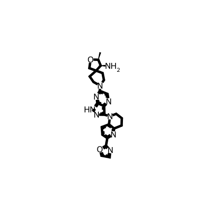 C[C@@H]1OCC2(CCN(c3cnc4c(N5CCCc6nc(-c7ncco7)ccc65)n[nH]c4n3)CC2)[C@@H]1N